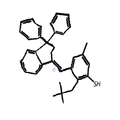 Cc1cc(S)c(CC(C)(C)C)c(/C=C2\CC(c3ccccc3)(c3ccccc3)c3ccccc32)c1